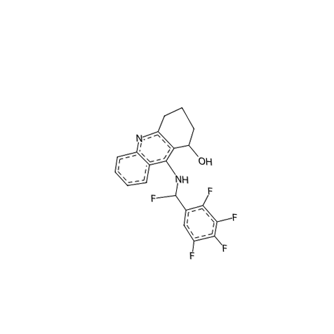 OC1CCCc2nc3ccccc3c(NC(F)c3cc(F)c(F)c(F)c3F)c21